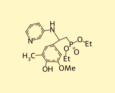 CCOP(=O)(CC(Nc1cccnc1)c1cc(C)c(O)c(OC)c1)OCC